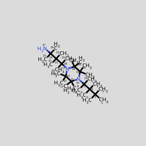 CC(C)(C)C(C)(C)C(C)(C)N1C(C)(C)C(C)(C)N(C(C)(C)C(C)(C)C(C)(C)N)C(C)(C)C1(C)C